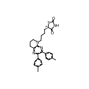 Cc1ccc(-c2nc3c(nc2-c2ccc(C)cc2)N(CCCC[C@H]2SC(=O)NC2=O)CCC3)cc1